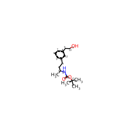 CC(CCc1cccc(CCO)c1)NC(=O)OC(C)(C)C